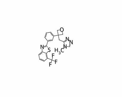 Cn1cnnc1CC1(c2cccc(-c3nc4cccc(C(F)(F)F)c4s3)c2)COC1